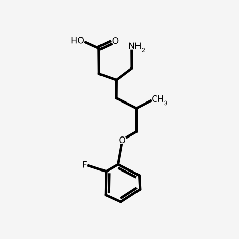 CC(COc1ccccc1F)CC(CN)CC(=O)O